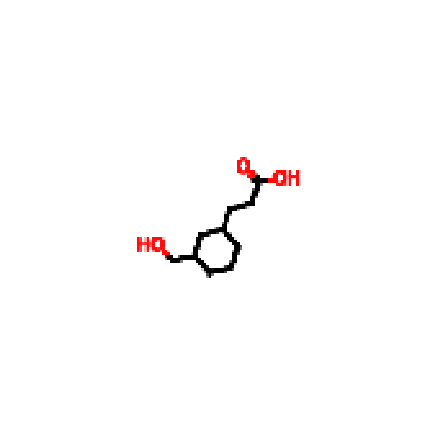 O=C(O)CCC1CC[CH]C(CO)C1